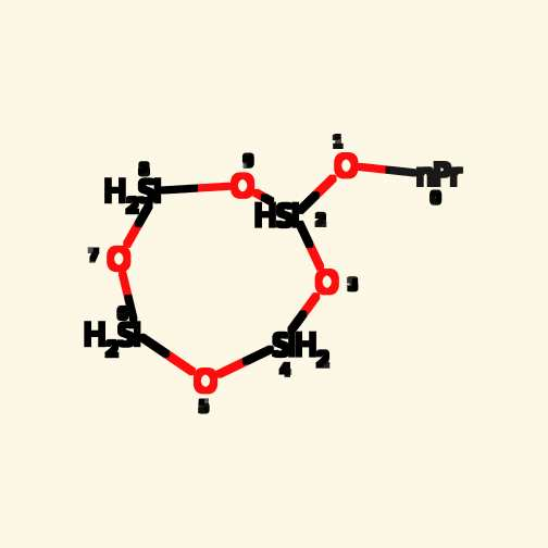 CCCO[SiH]1O[SiH2]O[SiH2]O[SiH2]O1